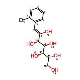 CCc1ccccc1C=C(O)[C@H](O)[C@@H](O)[C@H](O)[C@H](O)CO